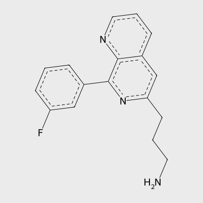 NCCCc1cc2cccnc2c(-c2cccc(F)c2)n1